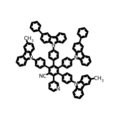 Cc1ccc2c(c1)c1ccccc1n2-c1ccc(-c2c(C#N)c(-c3cccnc3)c(-c3ccc(-n4c5ccccc5c5cc(C)ccc54)cc3)c(-c3ccc(-n4c5ccccc5c5cc(-c6ccccc6)ccc54)cc3)c2-c2ccc(-n3c4ccccc4c4cc(-c5ccccc5)ccc43)cc2)cc1